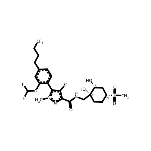 Cn1nc(C(=O)NC[C@]2(O)CC[C@@H](S(C)(=O)=O)C[C@H]2O)c(Cl)c1-c1ccc(CCCC(F)(F)F)cc1OC(F)F